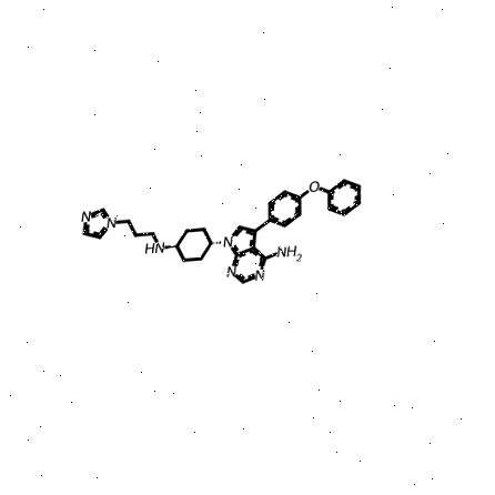 Nc1ncnc2c1c(-c1ccc(Oc3ccccc3)cc1)cn2[C@H]1CC[C@H](NCCCn2ccnc2)CC1